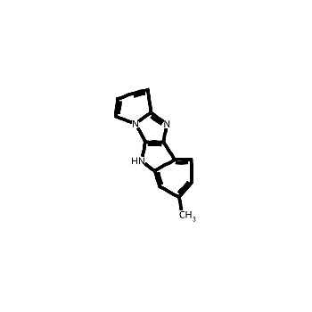 Cc1ccc2c(c1)[nH]c1c2nc2ccccn21